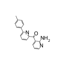 Cc1ccc(-c2cccc(C(=O)c3cccnc3N)n2)cc1